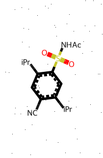 CC(=O)NS(=O)(=O)c1cc(C(C)C)c(C#N)cc1C(C)C